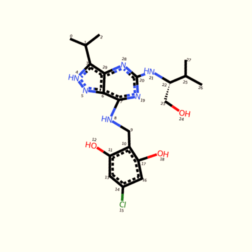 CC(C)c1[nH]nc2c(NCc3c(O)cc(Cl)cc3O)nc(N[C@@H](CO)C(C)C)nc12